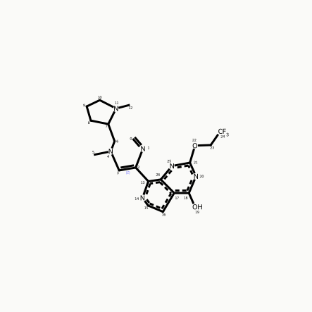 C=N/C(=C\N(C)CC1CCCN1C)c1nccc2c(O)nc(OCC(F)(F)F)nc12